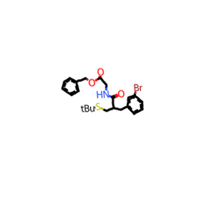 CC(C)(C)SCC(Cc1cccc(Br)c1)C(=O)NCC(=O)OCc1ccccc1